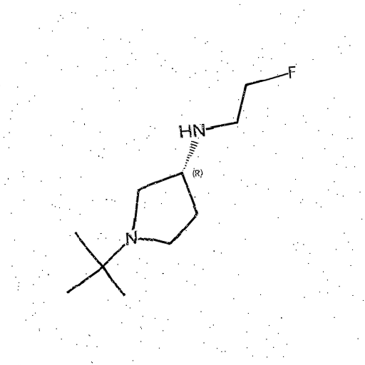 CC(C)(C)N1CC[C@@H](NCCF)C1